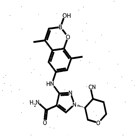 CC1=CB(O)Oc2c(C)cc(Nc3nn([C@H]4COCCC4C#N)cc3C(N)=O)cc21